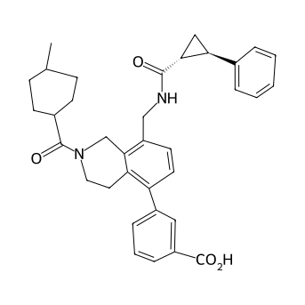 CC1CCC(C(=O)N2CCc3c(-c4cccc(C(=O)O)c4)ccc(CNC(=O)[C@@H]4C[C@H]4c4ccccc4)c3C2)CC1